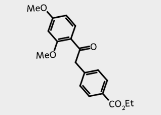 CCOC(=O)c1ccc(CC(=O)c2ccc(OC)cc2OC)cc1